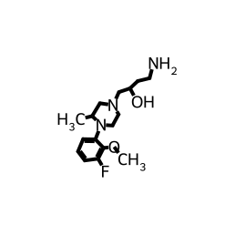 COc1c(F)cccc1N1CCN(CC(O)CCN)CC1C